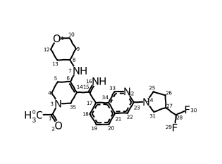 CC(=O)N1CCC(NC2CCOCC2)=C(C(=N)c2cccc3cc(N4CCC(C(F)F)C4)ncc23)C1